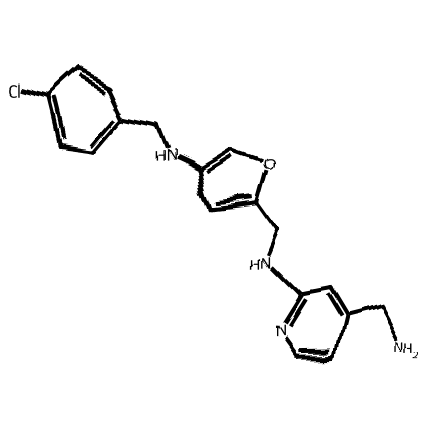 NCc1ccnc(NCc2cc(NCc3ccc(Cl)cc3)co2)c1